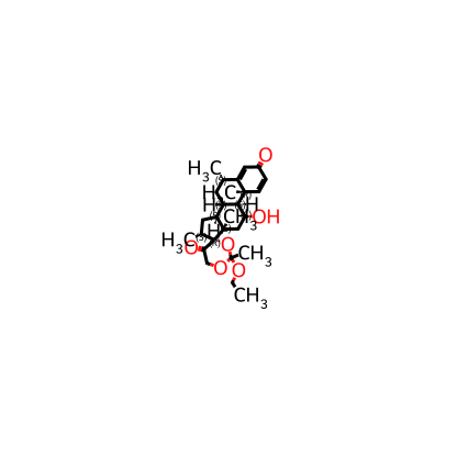 CCOC1(C)OCC(=O)[C@@]2(O1)[C@@H](C)C[C@H]1[C@@H]3C[C@H](C)C4=CC(=O)C=C[C@]4(C)[C@H]3[C@@H](O)C[C@@]12C